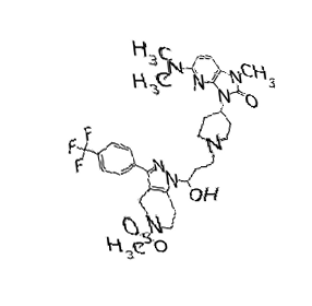 CN(C)c1ccc2c(n1)n(C1CCN(CCC(O)n3nc(-c4ccc(C(F)(F)F)cc4)c4c3CCN(S(C)(=O)=O)C4)CC1)c(=O)n2C